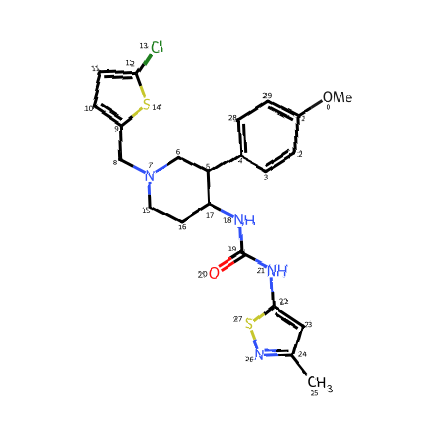 COc1ccc(C2CN(Cc3ccc(Cl)s3)CCC2NC(=O)Nc2cc(C)ns2)cc1